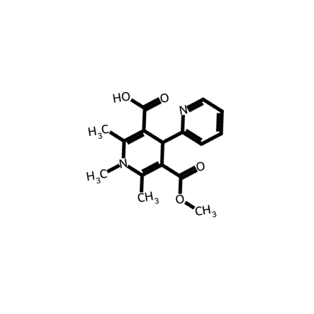 COC(=O)C1=C(C)N(C)C(C)=C(C(=O)O)C1c1ccccn1